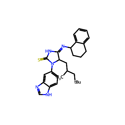 CC(CC1C(=NC2CCCc3ccccc32)NC(=S)N1c1ccc2[nH]cnc2c1)CC(C)(C)C